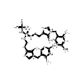 Cc1ncc(C[n+]2csc(CCOP(=O)(OCCc3sc[n+](Cc4cnc(C)nc4N)c3C)OP(=O)([O-])[O-])c2C)c(N)n1